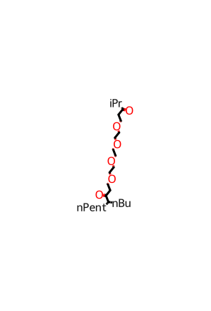 CCCCCC(CCCC)C(=O)CCOCCOCCOCCOCCC(=O)C(C)C